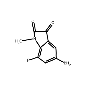 Bc1cc(F)c2c(c1)C(=O)C(=O)N2C